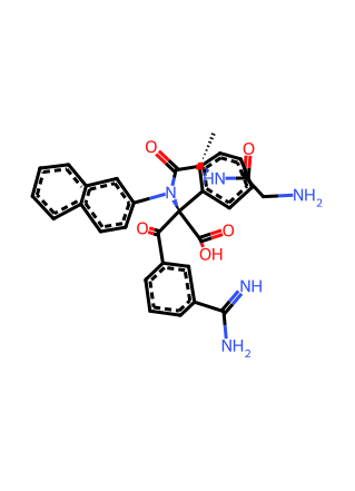 C[C@H](NC(=O)CN)C(=O)N(c1ccc2ccccc2c1)[C@@](C(=O)O)(C(=O)c1cccc(C(=N)N)c1)c1ccccc1